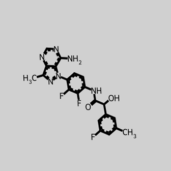 Cc1cc(F)cc(C(O)C(=O)Nc2ccc(-n3nc(C)c4ncnc(N)c43)c(F)c2F)c1